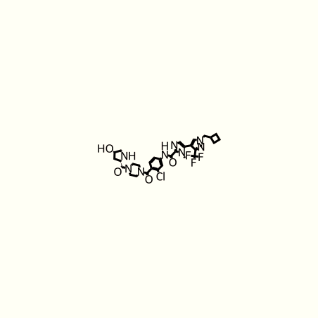 Cn1c(-c2cn(CC3CCC3)nc2C(F)(F)F)cnc1C(=O)Nc1ccc(C(=O)N2CCN(C(=O)[C@@H]3C[C@@H](O)CN3)CC2)c(Cl)c1